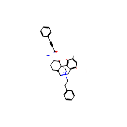 CC(=O)Oc1cc(O)c2c3c1O[C@H]1[C@H](N(C)C(=O)C#Cc4ccccc4)CC[C@H]4[C@@H](C2)N(CCc2ccccc2)CC[C@@]341